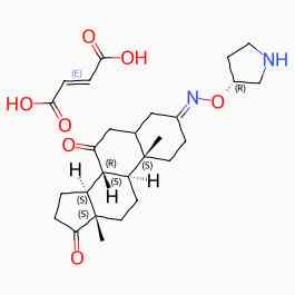 C[C@]12CCC(=NO[C@@H]3CCNC3)CC1CC(=O)[C@@H]1[C@@H]2CC[C@]2(C)C(=O)CC[C@@H]12.O=C(O)/C=C/C(=O)O